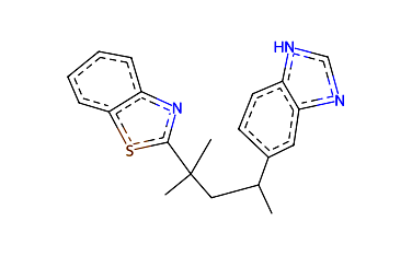 CC(CC(C)(C)c1nc2ccccc2s1)c1ccc2[nH]cnc2c1